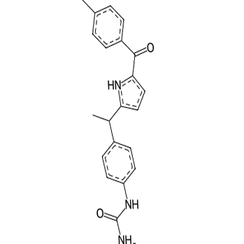 Cc1ccc(C(=O)c2ccc(C(C)c3ccc(NC(N)=O)cc3)[nH]2)cc1